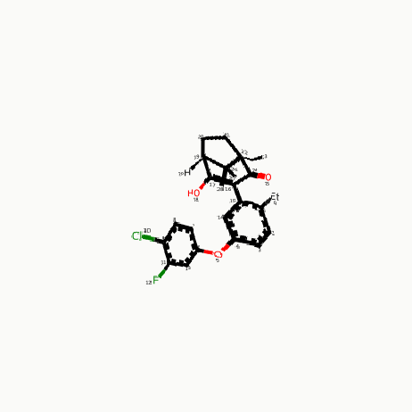 CCc1ccc(Oc2ccc(Cl)c(F)c2)cc1C1=C(O)[C@@H]2CC[C@](C)(C1=O)C2(C)C